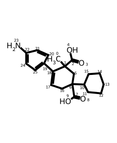 CC1(C(=O)O)CC(C(=O)O)(C2CCCCC2)CC=C1c1ccc(N)cc1